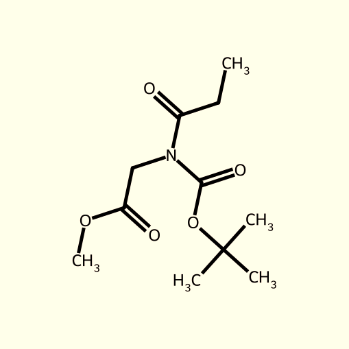 CCC(=O)N(CC(=O)OC)C(=O)OC(C)(C)C